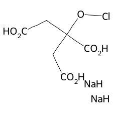 O=C(O)CC(CC(=O)O)(OCl)C(=O)O.[NaH].[NaH]